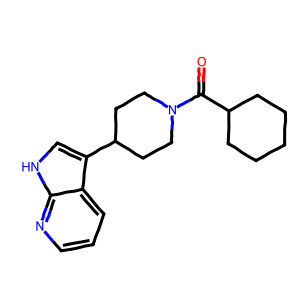 O=C(C1CCCCC1)N1CCC(c2c[nH]c3ncccc23)CC1